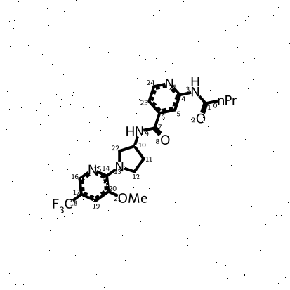 CCCC(=O)Nc1cc(C(=O)NC2CCN(c3ncc(C(F)(F)F)cc3OC)C2)ccn1